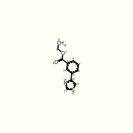 CCOC(=O)c1cccc(-c2cscn2)c1